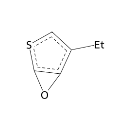 CCc1csc2c1O2